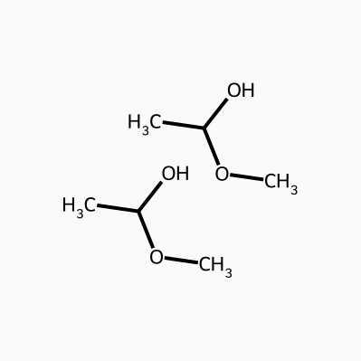 COC(C)O.COC(C)O